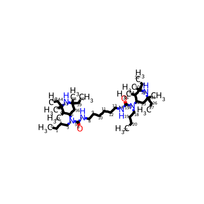 CCCCN(C(=O)NCCCCCCNC(=O)N(CCCC)C1CC(C)(CC)NC(C)(CC)C1C)C1CC(C)(CC)NC(C)(CC)C1C